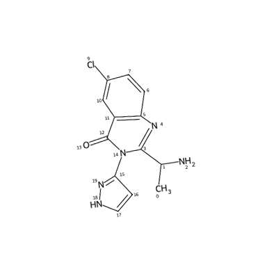 CC(N)c1nc2ccc(Cl)cc2c(=O)n1-c1cc[nH]n1